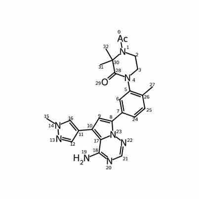 CC(=O)N1CCN(c2cc(-c3cc(-c4cnn(C)c4)c4c(N)ncnn34)ccc2C)C(=O)C1(C)C